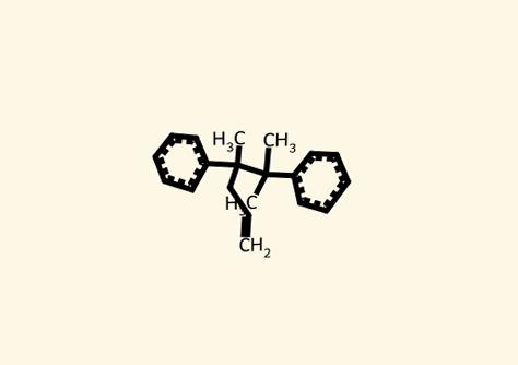 C=CCC(C)(c1ccccc1)C(C)(C)c1ccccc1